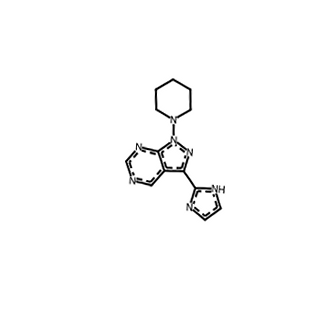 c1c[nH]c(-c2nn(N3CCCCC3)c3ncncc23)n1